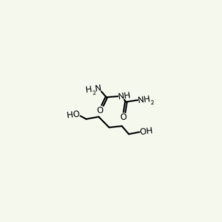 NC(=O)NC(N)=O.OCCCCCO